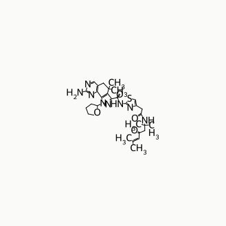 CC(C)=CC(=O)CC(C)(C)NC(=O)Cc1csc(NC(=O)c2nn(C3CCCCO3)c3c2C(C)(C)Cc2cnc(N)nc2-3)n1